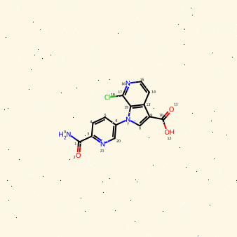 NC(=O)c1ccc(-n2cc(C(=O)O)c3ccnc(Cl)c32)cn1